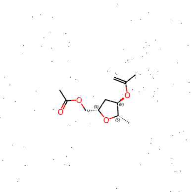 C=C(C)O[C@@H]1C[C@@H](COC(C)=O)O[C@H]1C